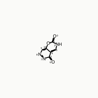 O=c1[nH]cc2c(=O)nncc-2o1